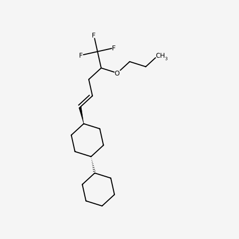 CCCOC(CC=C[C@H]1CC[C@H](C2CCCCC2)CC1)C(F)(F)F